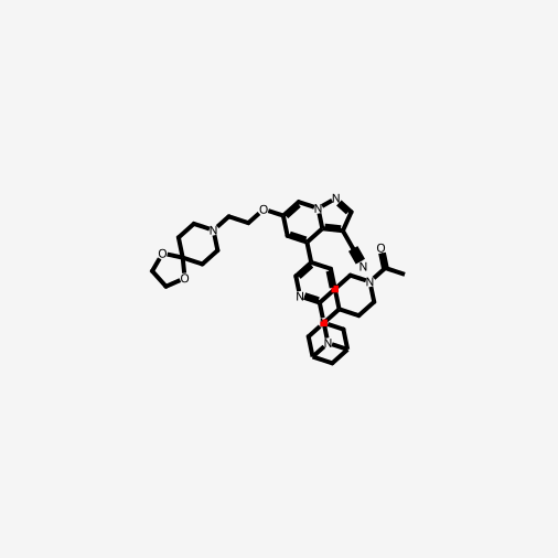 CC(=O)N1CCC(CN2C3CC2CN(c2ccc(-c4cc(OCCN5CCC6(CC5)OCCO6)cn5ncc(C#N)c45)cn2)C3)CC1